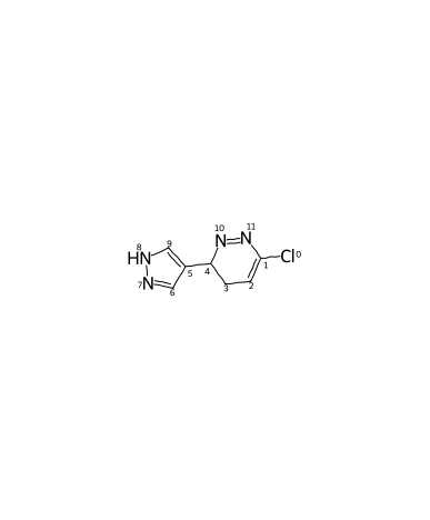 ClC1=CCC(c2cn[nH]c2)N=N1